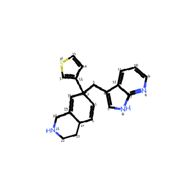 C1=CC(Cc2c[nH]c3ncccc23)(c2ccsc2)C=C2CNCCC12